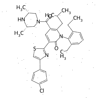 CCc1cccc(CC)c1-n1c(CC(C)C)c(C(=O)N2C[C@@H](C)N[C@@H](C)C2)cc(-c2nc(-c3ccc(Cl)cc3)cs2)c1=O